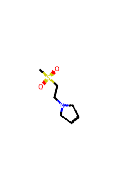 CS(=O)(=O)CCN1CCCC1